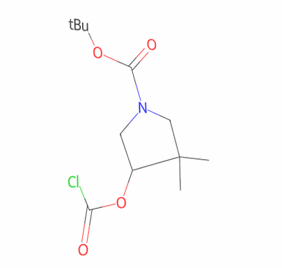 CC(C)(C)OC(=O)N1CC(OC(=O)Cl)C(C)(C)C1